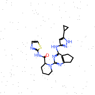 O=C(Nc1nccs1)C1CCCCN1c1nc2c(c(Nc3cc(C4CC4)[nH]n3)n1)CCC2